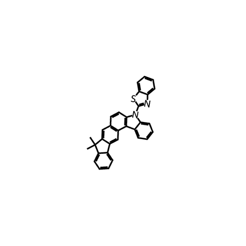 CC1(C)c2ccccc2-c2cc3c(ccc4c3c3ccccc3n4-c3nc4ccccc4s3)cc21